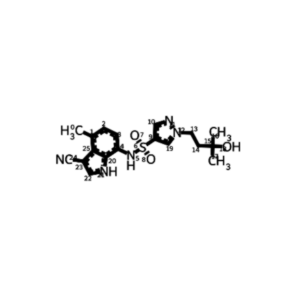 Cc1ccc(NS(=O)(=O)c2cnn(CCC(C)(C)O)c2)c2[nH]cc(C#N)c12